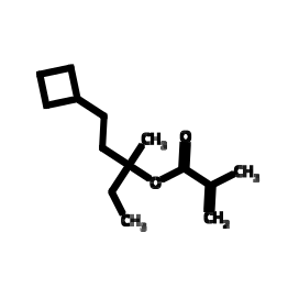 C=C(C)C(=O)OC(C)(CC)CCC1CCC1